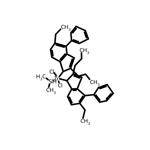 CCCC1=Cc2c(ccc(CC)c2-c2ccccc2)[CH]1[Zr]([Cl])([Cl])([CH]1C(CCC)=Cc2c1ccc(CC)c2-c1ccccc1)[SiH](C)C